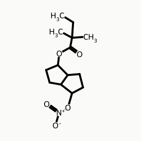 CCC(C)(C)C(=O)OC1CCC2C(O[N+](=O)[O-])CCC12